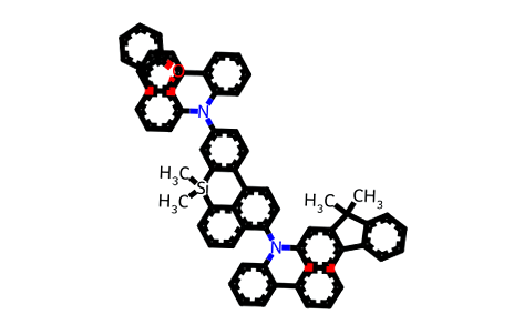 CC1(C)c2ccccc2-c2ccc(N(c3ccccc3-c3ccccc3)c3ccc4c5c(cccc35)[Si](C)(C)c3cc(N(c5ccccc5-c5ccccc5)c5cccc6c5oc5ccccc56)ccc3-4)cc21